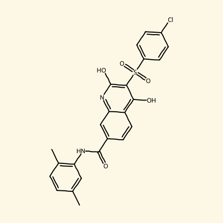 Cc1ccc(C)c(NC(=O)c2ccc3c(O)c(S(=O)(=O)c4ccc(Cl)cc4)c(O)nc3c2)c1